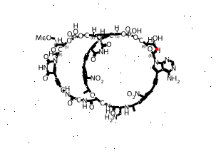 COC[C@H]1O[C@@H]2C[C@@H]1OP(=O)(O)OC[C@H]1O[C@@H]3C[C@@H]1OP(=O)(O)OC[C@H]1O[C@H](C[C@@H]1O)n1cc(c4c(N)ncnc41)C#Cc1ccc(c([N+](=O)[O-])c1)C(C)NC(CN)C(=O)NCC(OC(C)c1ccc(cc1[N+](=O)[O-])C#Cc1cn3c(=O)[nH]c1=O)C(=O)NCC(=O)NCC#Cc1cn2c(=O)[nH]c1=O